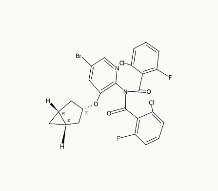 O=C(c1c(F)cccc1Cl)N(C(=O)c1c(F)cccc1Cl)c1ncc(Br)cc1O[C@@H]1C[C@@H]2C[C@@H]2C1